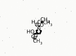 COC[C@@]1(C(=O)O)CCN(C(=O)OC(C)(C)C)C1